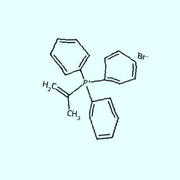 C=C(C)[P+](c1ccccc1)(c1ccccc1)c1ccccc1.[Br-]